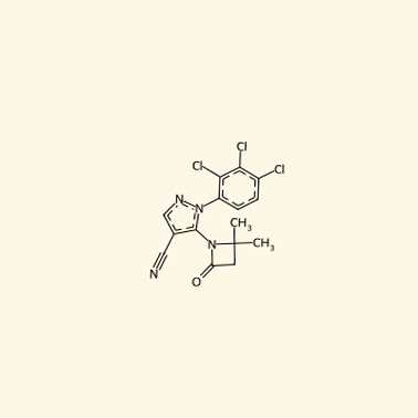 CC1(C)CC(=O)N1c1c(C#N)cnn1-c1ccc(Cl)c(Cl)c1Cl